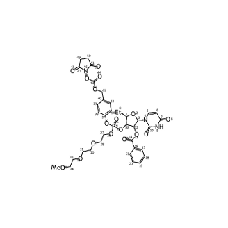 CC[C@H]1O[C@@H](n2ccc(=O)[nH]c2=O)C(OC(=O)c2ccccc2)C1OP(=O)(OCCOCCOCCOC)Oc1ccc(COC(=O)ON2C(=O)CCC2=O)cc1